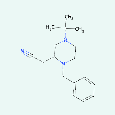 CC(C)(C)N1CCN(Cc2ccccc2)C(CC#N)C1